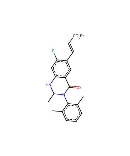 CCOC(=O)/C=C/c1cc2c(cc1F)NC(C)N(c1c(C)cccc1C)C2=O